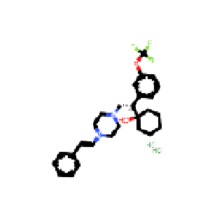 Cl.Cl.OC1([C@H](CN2CCN(C=Cc3ccccc3)CC2)c2cccc(OC(F)(F)F)c2)CCCCC1